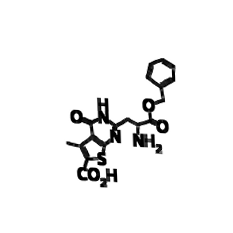 Cc1c(C(=O)O)sc2nc(CC(N)C(=O)OCc3ccccc3)[nH]c(=O)c12